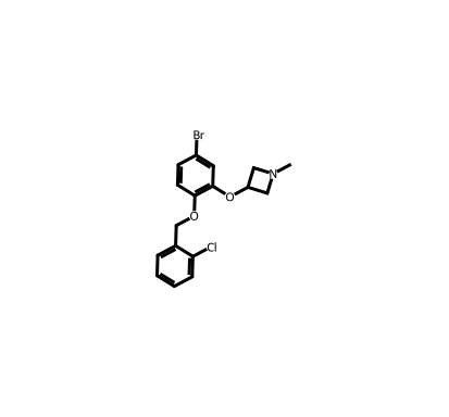 CN1CC(Oc2cc(Br)ccc2OCc2ccccc2Cl)C1